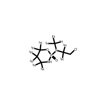 [2H]C([2H])(CC)N(C([2H])([2H])CCl)P1(=O)NC([2H])([2H])C([2H])([2H])C([2H])([2H])O1